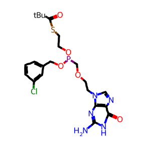 CC(C)(C)C(=O)SCCOP(COCCn1cnc2c(=O)[nH]c(N)nc21)OCc1cccc(Cl)c1